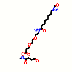 CN(OC(=O)CCOCCOCCNC(=O)CCCCCCCNC=O)C(=O)CCC=O